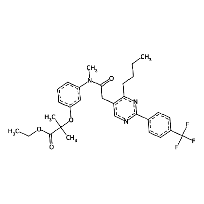 CCCCc1nc(-c2ccc(C(F)(F)F)cc2)ncc1CC(=O)N(C)c1cccc(OC(C)(C)C(=O)OCC)c1